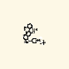 CC(C)(C)OC(=O)N1CCC(n2cnc3cnc4c(F)c(-c5c(O)cccc5F)c(Cl)cc4c32)CC1